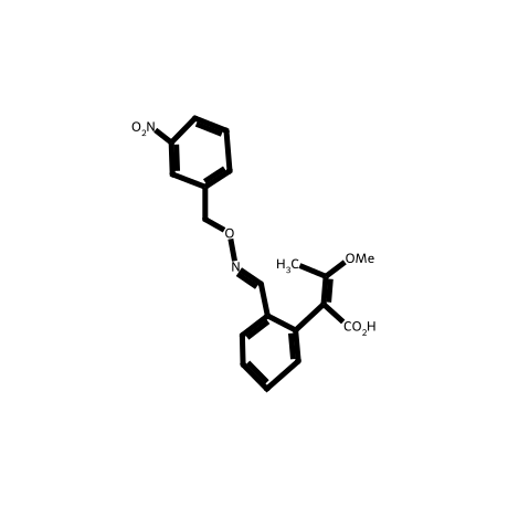 COC(C)=C(C(=O)O)c1ccccc1C=NOCc1cccc([N+](=O)[O-])c1